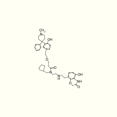 CN1CCC(c2ccccc2)(c2cc(CCOCCC(=O)N(CCNCCc3ccc(O)c4c3OCC(=O)N4)CC3CCCC3)ccc2O)CC1